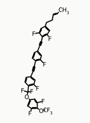 C/C=C/CCc1cc(F)c(C#Cc2ccc(C#Cc3ccc(C(F)(F)Oc4cc(F)c(OC(F)(F)F)c(F)c4)c(F)c3)c(F)c2)c(F)c1